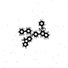 CC1(C)c2ccccc2-c2ccc(N(c3ccc(-c4cc5ccccc5c5oc(-c6ccccc6)nc45)cc3)c3cccc(-c4ccccc4)c3)cc21